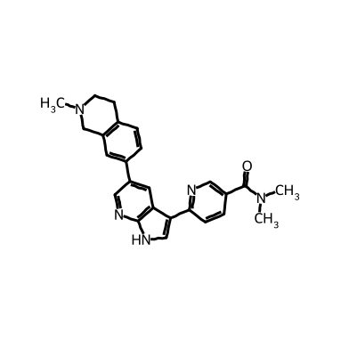 CN1CCc2ccc(-c3cnc4[nH]cc(-c5ccc(C(=O)N(C)C)cn5)c4c3)cc2C1